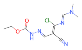 CCOC(=O)NN=CC(C#N)=C(Cl)N=CN(C)C